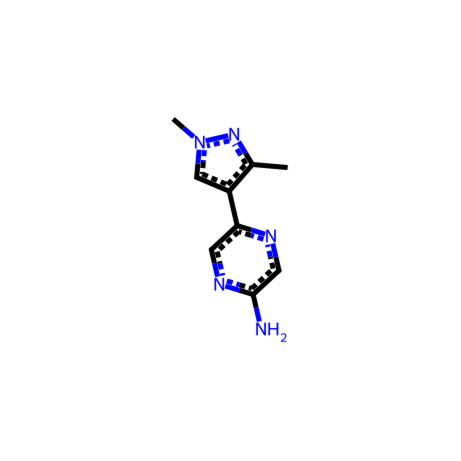 Cc1nn(C)cc1-c1cnc(N)cn1